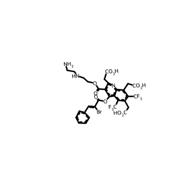 NCCNCCOC(=O)c1c(CC(=O)O)nc2c(CC(=O)O)c(C(F)(F)F)c(CC(=O)O)c(C(F)(F)F)c2c1OC(=O)/C(Br)=C/c1ccccc1